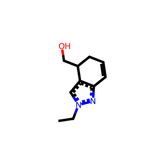 CCn1cc2c(n1)C=CCC2CO